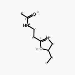 CCC1CN=C(CCNC(C)=O)O1